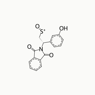 O=[S+]C[C@H](c1cccc(O)c1)N1C(=O)c2ccccc2C1=O